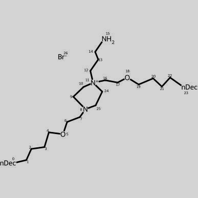 CCCCCCCCCCCCCCOCCN1CC[N+](CCCN)(CCOCCCCCCCCCCCCCC)CC1.[Br-]